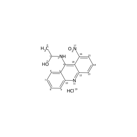 CC(O)Nc1c2ccccc2nc2cccc([N+](=O)[O-])c12.Cl